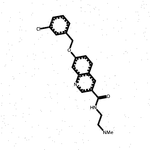 CNCCNC(=O)c1cnc2cc(OCc3cccc(Cl)c3)ccc2c1